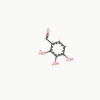 O=[C]c1ccc(O)c(O)c1O